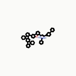 C1=CC2C(C=C1c1ccccc1)C2C1=CC(c2cccc3c2oc2ccc(C4=CCCC5=C4C4=CC6=C(CC4C54CCCCC4)c4ccccc4C64CCCCC4)cc23)NC(c2ccccc2)N1